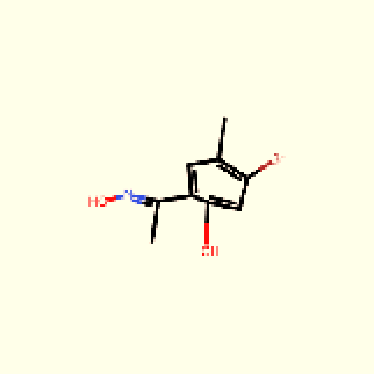 C/C(=N\O)c1cc(C)c(Br)cc1O